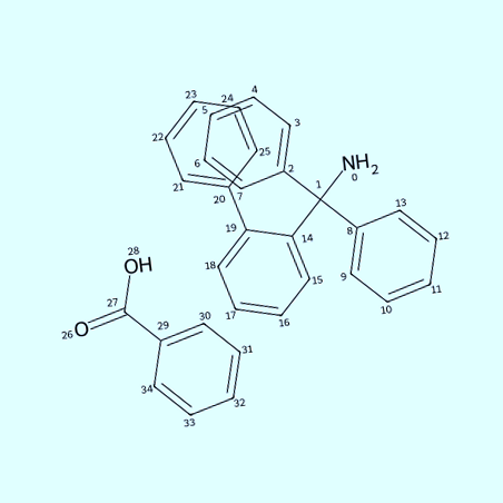 NC(c1ccccc1)(c1ccccc1)c1ccccc1-c1ccccc1.O=C(O)c1ccccc1